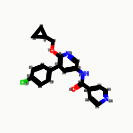 O=C(Nc1cnc(OCC2CC2)c(-c2ccc(Cl)cc2)c1)c1ccncc1